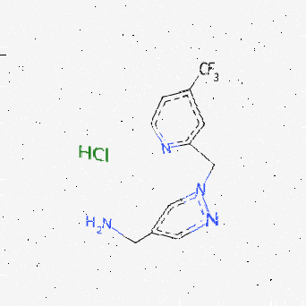 Cl.NCc1cnn(Cc2cc(C(F)(F)F)ccn2)c1